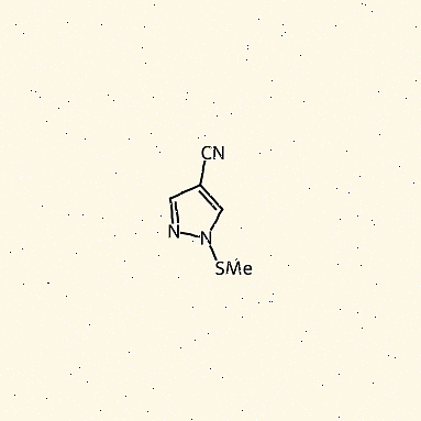 CSn1cc(C#N)cn1